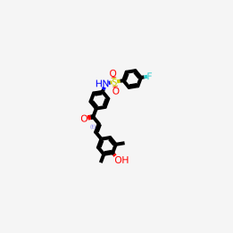 Cc1cc(/C=C/C(=O)c2ccc(NS(=O)(=O)c3ccc(F)cc3)cc2)cc(C)c1O